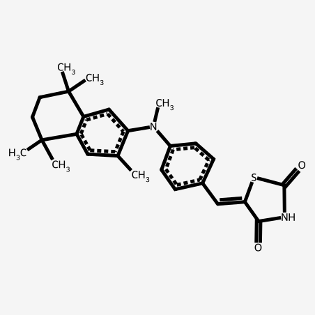 Cc1cc2c(cc1N(C)c1ccc(/C=C3\SC(=O)NC3=O)cc1)C(C)(C)CCC2(C)C